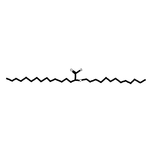 CCCCCCCCCCCCCCC(CCCCCCCCCCCCCC)C(=O)[S]